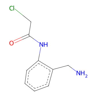 NCc1ccccc1NC(=O)CCl